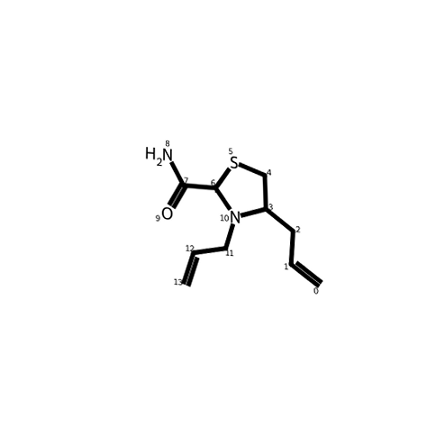 C=CCC1CS[C](C(N)=O)N1CC=C